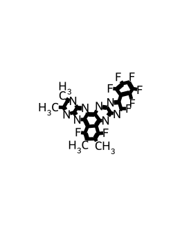 Cc1nc2nc3c4nc5nc(-c6c(F)c(F)c(F)c(F)c6F)c(F)nc5nc4c4c(F)c(C)c(C)c(F)c4c3nc2nc1C